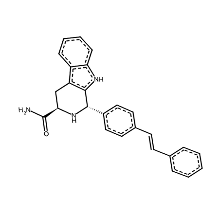 NC(=O)[C@H]1Cc2c([nH]c3ccccc23)[C@H](c2ccc(C=Cc3ccccc3)cc2)N1